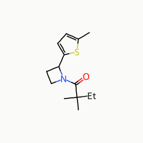 CCC(C)(C)C(=O)N1CCC1c1ccc(C)s1